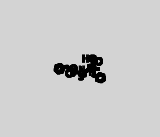 Cc1c(C(=O)O)cc(-c2csc(C3=COC(Cc4ccccc4)O3)n2)n1CC1CCCCC1